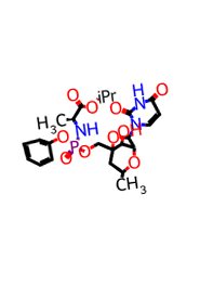 CC(C)OC(=O)[C@H](C)NP(=O)(OCC12CC(C)OC(C(n3ccc(=O)[nH]c3=O)O1)C2O)Oc1ccccc1